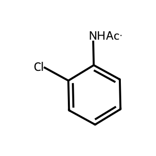 CC(=O)[N]c1ccccc1Cl